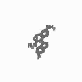 Nc1ccc2c(c1)COC(N)N2C1CCc2cc(F)ccc21